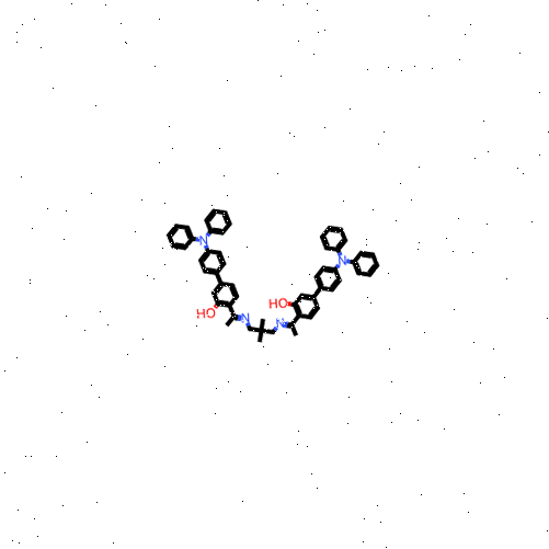 C/C(=N\CC(C)(C)C/N=C(\C)c1ccc(-c2ccc(N(c3ccccc3)c3ccccc3)cc2)cc1O)c1ccc(-c2ccc(N(c3ccccc3)c3ccccc3)cc2)cc1O